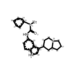 CCN(C(=O)Nc1ccc2[nH]cc(C3CCN4CCCC4C3)c2c1)c1ccccc1